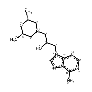 C[C@@H]1CN(CC(O)Cn2cnc3c(N)ncnc32)C[C@@H](C)O1